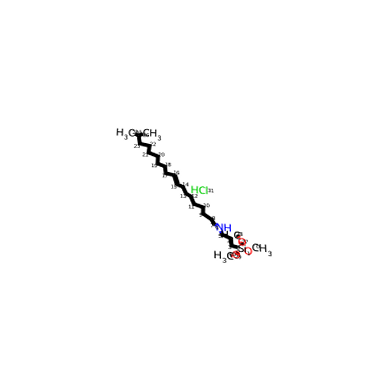 CO[Si](CCCNCCCCCCCCC=CCCCCCCCC(C)C)(OC)OC.Cl